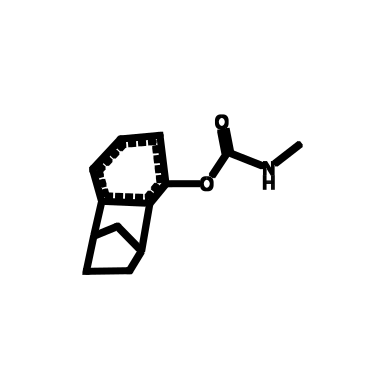 CNC(=O)Oc1cccc2c1C1CCC2C1